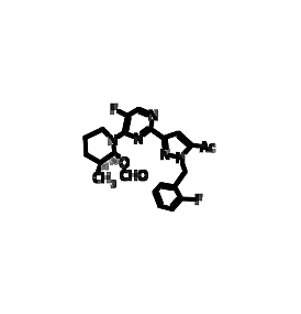 CC(=O)c1cc(-c2ncc(F)c(N3CCC[C@H](C)[C@@H]3OC=O)n2)nn1Cc1ccccc1F